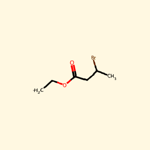 [CH2]COC(=O)CC(C)Br